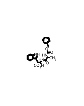 C[C@H](NC(=O)OCc1ccccc1)C(=O)NC(Cc1c[nH]c2ccccc12)C(=O)O